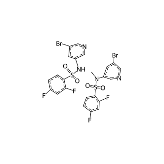 CN(c1cncc(Br)c1)S(=O)(=O)c1ccc(F)cc1F.O=S(=O)(Nc1cncc(Br)c1)c1ccc(F)cc1F